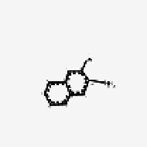 CCC(C)c1cc2ccccc2cc1N